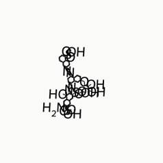 Nc1cc2c(O)c(N=Nc3ccc(N=Nc4ccc5c(S(=O)(=O)O)cccc5c4)c4ccc(OCC(O)CO)cc34)c(SOOO)cc2cc1S(=O)(=O)O